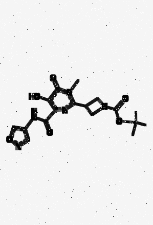 Cn1c(C2CN(C(=O)OC(C)(C)C)C2)nc(C(=O)Nc2cnoc2)c(O)c1=O